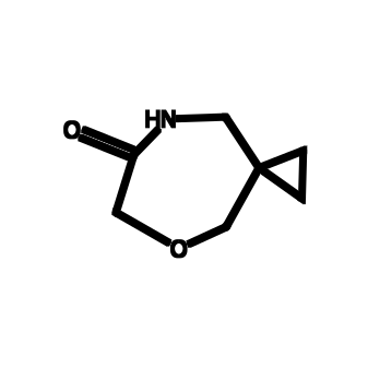 O=C1COCC2(CC2)CN1